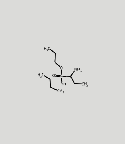 CCCC.CCCOP(=O)(O)C(N)CC